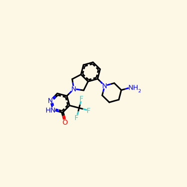 NC1CCCN(c2cccc3c2CN(c2cn[nH]c(=O)c2C(F)(F)F)C3)C1